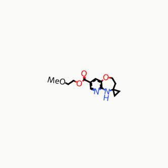 COCCOC(=O)c1cnc2c(c1)OCCC1(CC1)N2